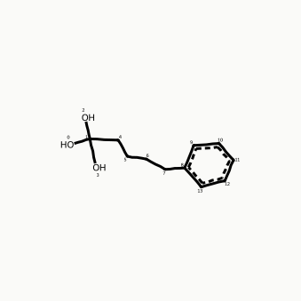 OC(O)(O)CCCCc1ccccc1